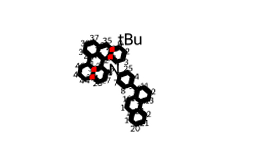 CC(C)(C)c1ccc(N(c2ccc(-c3cccc4c3ccc3ccccc34)cc2)c2ccccc2-c2cccc3cccc(C4CCCCC4)c23)cc1